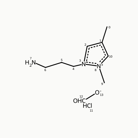 Cc1cn(CCCN)[n+](C)c1.Cl.O=C[O-]